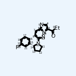 CCC(=O)c1cnc2ccc(N3CCC[C@@H]3c3cccc(F)c3)nn12